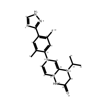 Cc1cc(-c2nc[nH]n2)c(F)cc1N1C=CN2NC(=O)CN(C(C)C)C2=C1